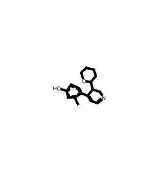 Cc1cc(O)ccc1C1=CC=NCC1C1CCCCO1